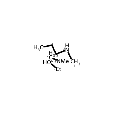 CCCNC.CCO.CNC